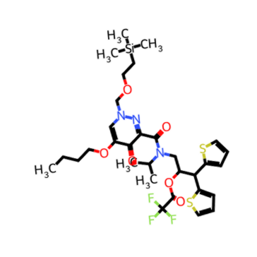 CCCCOc1cn(COCC[Si](C)(C)C)nc(C(=O)N(CC(OC(=O)C(F)(F)F)C(c2cccs2)c2cccs2)C(C)C)c1=O